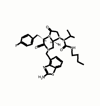 CCCCNC(=O)N(C(C)C)N1CC(=O)N2[C@@H](Cc3ccc(F)cc3)C(=O)N(Cc3cccc4sc(N)nc34)C[C@@H]21